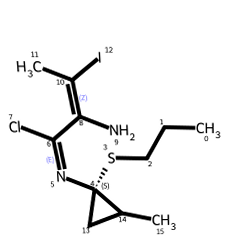 CCCS[C@@]1(/N=C(Cl)\C(N)=C(/C)I)CC1C